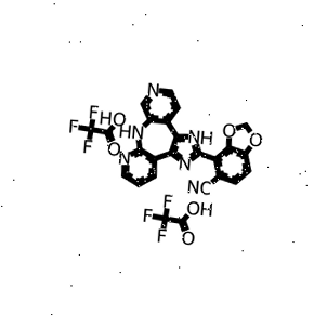 N#Cc1ccc2c(c1-c1nc3c([nH]1)-c1ccncc1Nc1ncccc1-3)OCO2.O=C(O)C(F)(F)F.O=C(O)C(F)(F)F